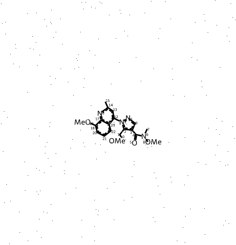 COCc1c(C(=O)N(C)OC)cnn1-c1cc(C)nc2c(OC)cccc12